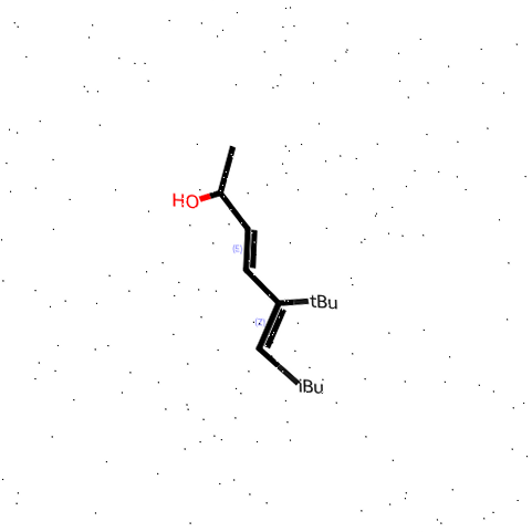 CCC(C)/C=C(/C=C/C(C)O)C(C)(C)C